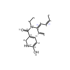 C=C/C(=C\C=C/C)N(CC)C(=O)C1=CC=C(O)NC1